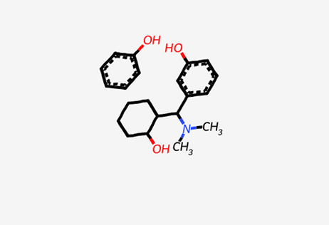 CN(C)C(c1cccc(O)c1)C1CCCCC1O.Oc1ccccc1